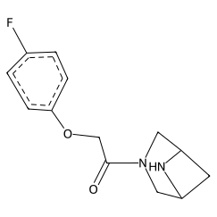 O=C(COc1ccc(F)cc1)N1CC2CC(C1)N2